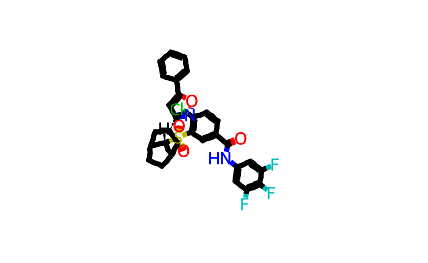 O=C(Nc1cc(F)c(F)c(F)c1)c1ccc(Cl)c(S(=O)(=O)[C@H]2C3CCC2C[C@H](c2cc(-c4ccccc4)on2)C3)c1